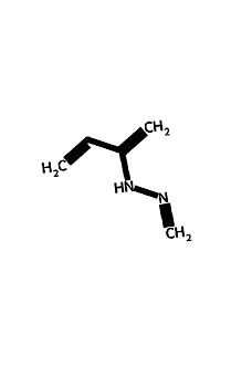 C=CC(=C)NN=C